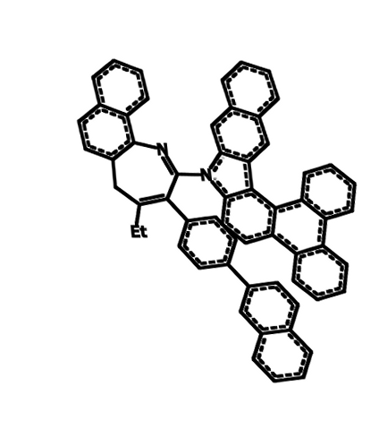 CCC1=C(c2ccc(-c3ccc4ccccc4c3)cc2)C(n2c3cc4ccccc4cc3c3c4c5ccccc5c5ccccc5c4ccc32)=Nc2c(ccc3ccccc23)C1